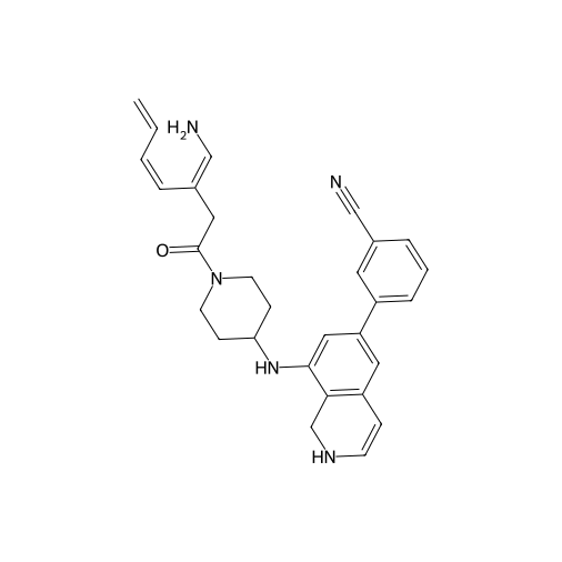 C=C/C=C\C(=C/N)CC(=O)N1CCC(Nc2cc(-c3cccc(C#N)c3)cc3c2CNC=C3)CC1